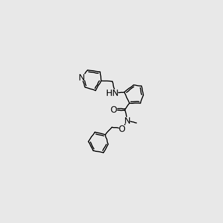 CN(OCc1ccccc1)C(=O)c1ccccc1NCc1ccncc1